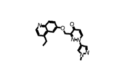 CCc1ccnc2ccc(OCc3nn(-c4cnn(C)c4)ccc3=O)cc12